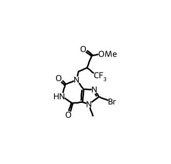 COC(=O)C(Cn1c(=O)[nH]c(=O)c2c1nc(Br)n2C)C(F)(F)F